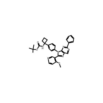 COc1ccncc1-c1nc2cnc(-c3ccccc3)nc2n1-c1ccc(C2(NC(=O)OC(C)(C)C)CCC2)cc1